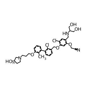 Cc1c(OCCCN2CC[C@@H](O)C2)cccc1-c1cccc(COc2cc(OCC#N)c(CNC(CO)CO)cc2Cl)c1Cl